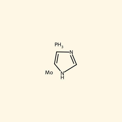 P.[Mo].c1c[nH]cn1